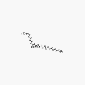 CCCCCCCCCCCCCCCCC([C]=O)CCCCCCCCCCCCCCCC(C)C